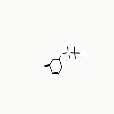 CC(C)(C)[Si](C)(C)OC1CC=CC(=O)C1